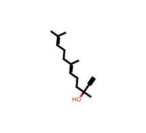 C#CC(C)(O)CC/C=C(\C)CCC=C(C)C